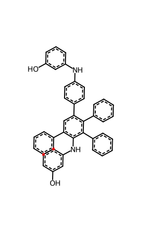 Oc1cccc(Nc2ccc(-c3cc(-c4ccccc4)c(Nc4cccc(O)c4)c(-c4ccccc4)c3-c3ccccc3)cc2)c1